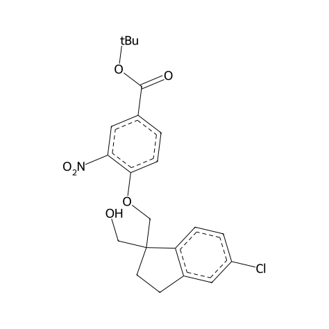 CC(C)(C)OC(=O)c1ccc(OCC2(CO)CCc3cc(Cl)ccc32)c([N+](=O)[O-])c1